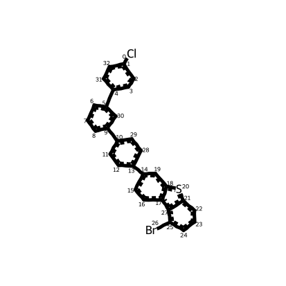 Clc1ccc(-c2cccc(-c3ccc(-c4ccc5c(c4)sc4cccc(Br)c45)cc3)c2)cc1